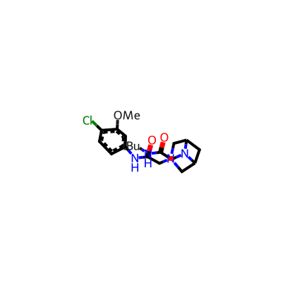 COc1cc(NC(=O)CN2CC3CC(C2)N3CC(=O)NC(C)(C)C)ccc1Cl